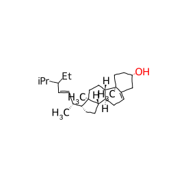 CCC(C=C[C@@H](C)[C@H]1CC[C@H]2[C@@H]3CC=C4C[C@@H](O)CC[C@]4(C)[C@H]3CC[C@]12C)C(C)C